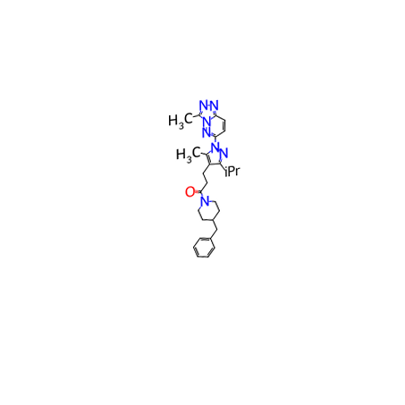 Cc1c(CCC(=O)N2CCC(Cc3ccccc3)CC2)c(C(C)C)nn1-c1ccc2nnc(C)n2n1